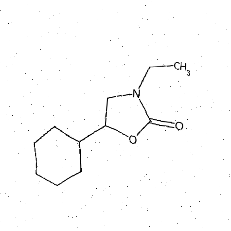 CCN1CC(C2CCCCC2)OC1=O